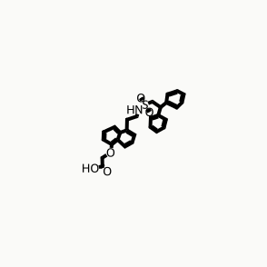 O=C(O)COc1cccc2c(CCNS(=O)(=O)CC(c3ccccc3)c3ccccc3)cccc12